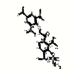 CC(C)c1cc(C(C)C)c(OCC(=O)c2ccc(C(C)C)c(OS(N)(=O)=O)c2C(C)C)c(C(C)C)c1